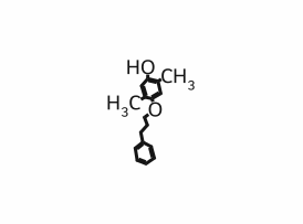 Cc1cc(OCCCc2ccccc2)c(C)cc1O